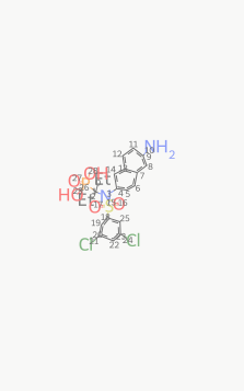 CCC(CC)(N(c1ccc2cc(N)ccc2c1)S(=O)(=O)c1cc(Cl)cc(Cl)c1)P(=O)(O)O